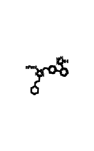 CCCCCc1nc(CCC2CCCCC2)nn1Cc1ccc(-c2ccccc2-c2nnn[nH]2)cc1